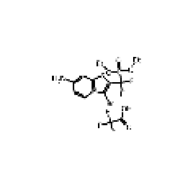 CCOP(=O)(OCC)C(F)(F)c1sc2cc(N)ccc2c1Br.O=C(O)C(F)(F)F